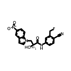 C[C@](O)(Cn1ccc2cc([N+](=O)[O-])ccc21)C(=O)Nc1ccc(C#N)c(CF)c1